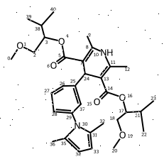 COCC(OC(=O)C1=C(C)NC(C)=C(C(=O)OC(COC)C(C)C)C1c1cccc(-n2c(C)ccc2C)c1)C(C)C